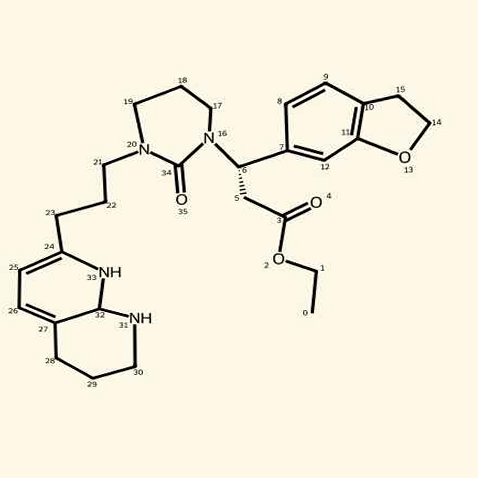 CCOC(=O)C[C@@H](c1ccc2c(c1)OCC2)N1CCCN(CCCC2=CC=C3CCCNC3N2)C1=O